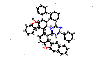 c1ccc(-c2cccc(-c3nc(-c4ccccc4)nc(-c4c(-c5cccc6oc7ccccc7c56)ccc5oc6cc7ccccc7cc6c45)n3)c2)cc1